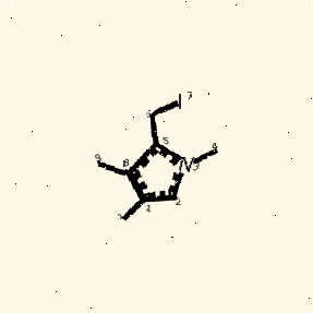 Cc1cn(C)c(CI)c1C